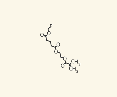 C=C(C)C(=O)OCCOC(=O)CCCC(=O)OCF